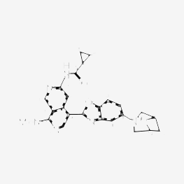 CNc1ncc(-c2nc3cc(N4CC5CC(C4)O5)ccc3o2)c2cc(NC(=O)C3CC3)ncc12